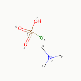 CN(C)C.O=S(=O)(O)Cl